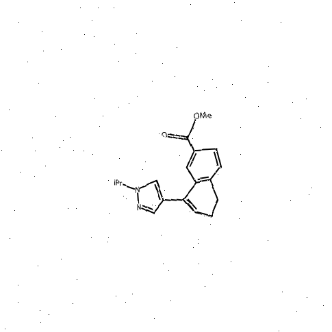 COC(=O)c1ccc2c(c1)C(c1cnn(C(C)C)c1)=CCC2